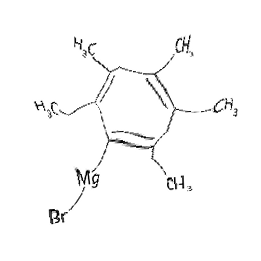 Cc1c(C)c(C)[c]([Mg][Br])c(C)c1C